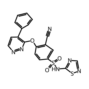 N#Cc1cc(S(=O)(=O)Nc2ncns2)ccc1Oc1nnccc1-c1ccccc1